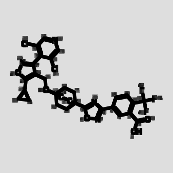 O=C(O)c1cc(-c2noc(C34CCC(OCc5c(-c6c(Cl)cncc6Cl)noc5C5CC5)(CC3)CC4)n2)ccc1C(F)(F)F